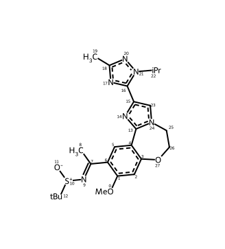 COc1cc2c(cc1C(C)=N[S+]([O-])C(C)(C)C)-c1nc(-c3nc(C)nn3C(C)C)cn1CCO2